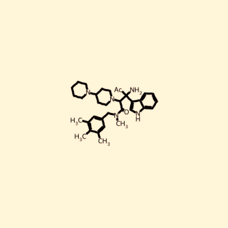 CC(=O)C(N)(c1c[nH]c2ccccc12)C(C(=O)N(C)Cc1cc(C)c(C)c(C)c1)N1CCC(N2CCCCC2)CC1